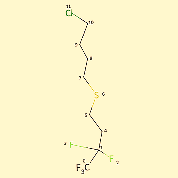 FC(F)(F)C(F)(F)CCSCCCCCl